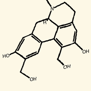 CN1CCc2cc(O)c(CO)c3c2[C@@H]1Cc1cc(O)c(CO)cc1-3